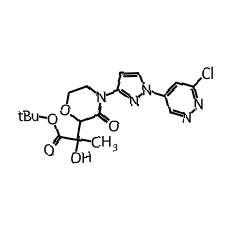 CC(C)(C)OC(=O)C(C)(O)C1OCCN(c2ccn(-c3cnnc(Cl)c3)n2)C1=O